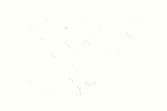 O=C1Cc2cc(NC(=O)[C@H](Cc3ccccc3)n3cnc(-c4cc(Cl)ccc4N4C=C(Cl)NN4)cc3=O)ccc2N1